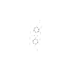 CCSc1c(F)c(F)c(S(=O)(=O)c2c(F)c(F)c(SCC)c(F)c2F)c(F)c1F